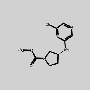 CC(C)(C)OC(=O)N1CC[C@@H](Nc2cncc(Cl)n2)C1